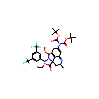 CCOC(=O)C1(N(Cc2cc(C(F)(F)F)cc(C(F)(F)F)c2)C(=O)OC)CC(C)N=C2C=C(N(C(=O)OC(C)(C)C)C(=O)OC(C)(C)C)CC=C21